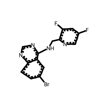 Fc1cnc(CNc2ncnc3ccc(Br)cc23)c(F)c1